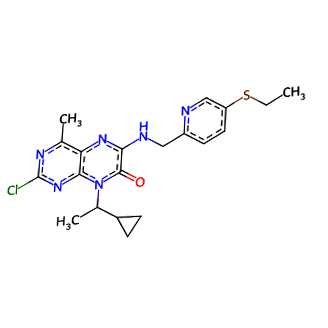 CCSc1ccc(CNc2nc3c(C)nc(Cl)nc3n(C(C)C3CC3)c2=O)nc1